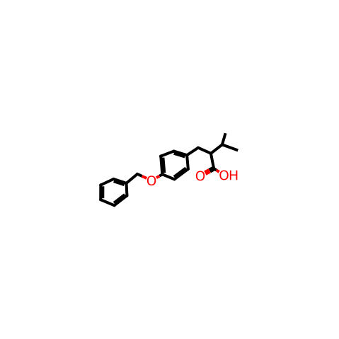 CC(C)C(Cc1ccc(OCc2ccccc2)cc1)C(=O)O